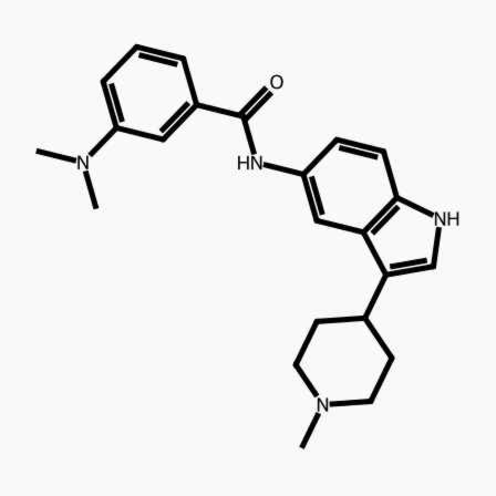 CN1CCC(c2c[nH]c3ccc(NC(=O)c4cccc(N(C)C)c4)cc23)CC1